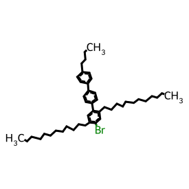 CCCCCCCCCCCCc1cc(-c2ccc(-c3ccc(CCCC)cc3)cc2)c(CCCCCCCCCCCC)cc1Br